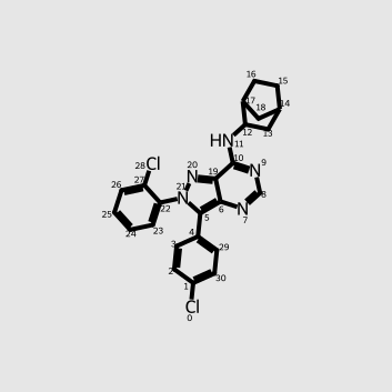 Clc1ccc(-c2c3ncnc(NC4CC5CCC4C5)c3nn2-c2ccccc2Cl)cc1